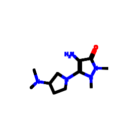 CN(C)C1CCN(c2c(N)c(=O)n(C)n2C)C1